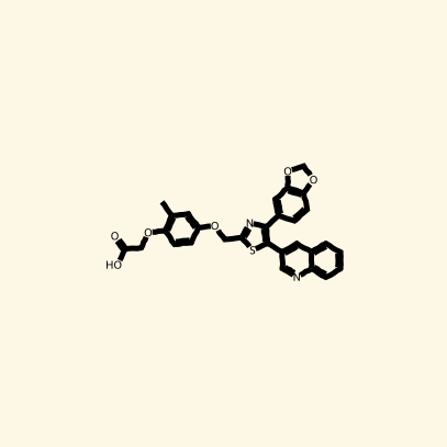 Cc1cc(OCc2nc(-c3ccc4c(c3)OCO4)c(-c3cnc4ccccc4c3)s2)ccc1OCC(=O)O